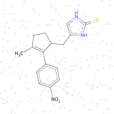 CC1=C(c2ccc([N+](=O)[O-])cc2)C(Cc2c[nH]c(=S)[nH]2)CC1